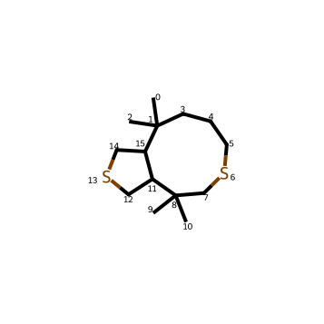 CC1(C)CCCSCC(C)(C)C2CSCC21